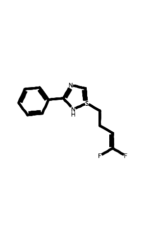 FC(F)=CCCS1=CN=C(c2ccccc2)N1